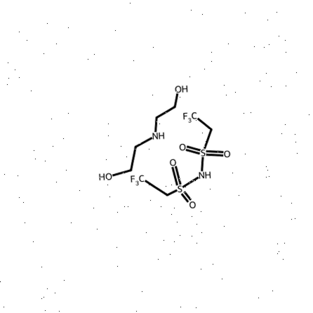 O=S(=O)(CC(F)(F)F)NS(=O)(=O)CC(F)(F)F.OCCNCCO